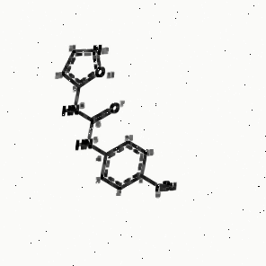 CCCCc1ccc(NC(=O)Nc2ccno2)cc1